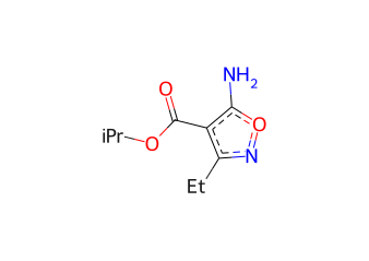 CCc1noc(N)c1C(=O)OC(C)C